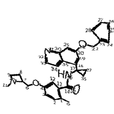 Cc1ccc(OCC2CCN2C)cc1C(=O)NC1(c2cc(OCc3ccccc3)cc3ncccc23)CC1